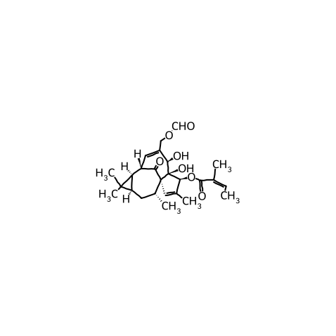 C/C=C(/C)C(=O)O[C@H]1C(C)=C[C@]23C(=O)[C@@H](C=C(COC=O)[C@@H](O)[C@]12O)[C@H]1[C@@H](C[C@H]3C)C1(C)C